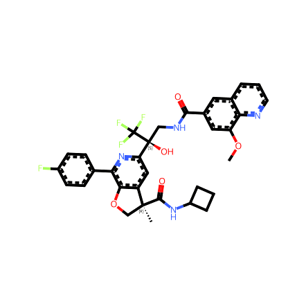 COc1cc(C(=O)NC[C@](O)(c2cc3c(c(-c4ccc(F)cc4)n2)OC[C@]3(C)C(=O)NC2CCC2)C(F)(F)F)cc2cccnc12